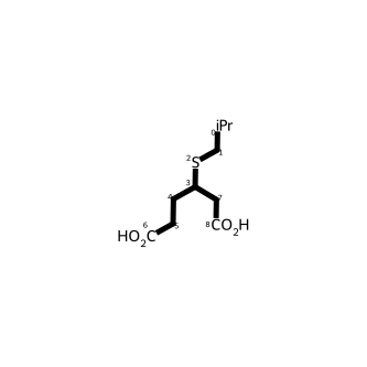 CC(C)CSC(CCC(=O)O)CC(=O)O